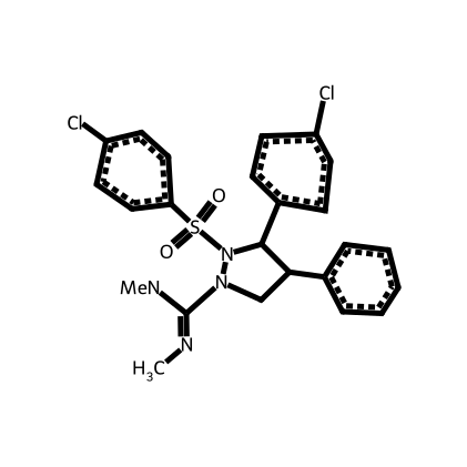 CN=C(NC)N1CC(c2ccccc2)C(c2ccc(Cl)cc2)N1S(=O)(=O)c1ccc(Cl)cc1